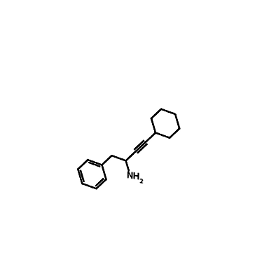 NC(C#CC1CCCCC1)Cc1ccccc1